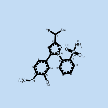 COc1ccc(-c2cc(C(F)F)nn2-c2ccccc2S(N)(=O)=O)cc1Cl